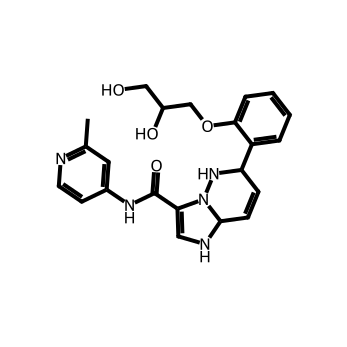 Cc1cc(NC(=O)C2=CNC3C=CC(c4ccccc4OCC(O)CO)NN23)ccn1